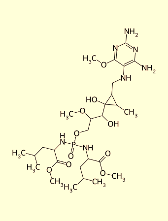 COC(=O)C(CC(C)C)NP(=O)(NC(CC(C)C)C(=O)OC)OCC(OC)C(O)C1(O)C(C)C1CNc1c(N)nc(N)nc1OC